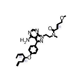 C=C/C=C(\C=C/C)Oc1ccc(-c2nn(CCN(C)C(=O)/C=C/COC)c3ncnc(N)c23)cc1